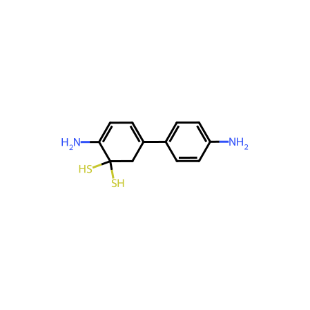 NC1=CC=C(c2ccc(N)cc2)CC1(S)S